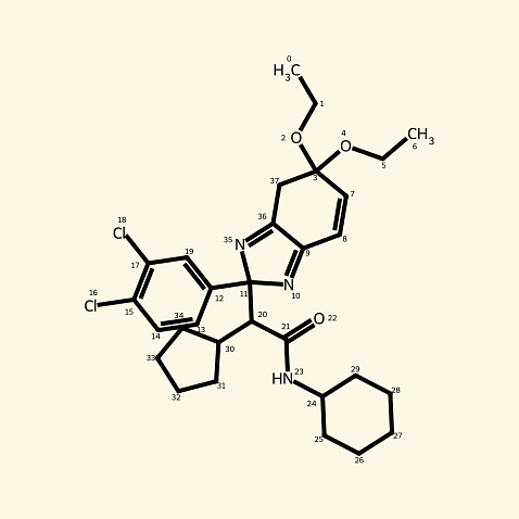 CCOC1(OCC)C=CC2=NC(c3ccc(Cl)c(Cl)c3)(C(C(=O)NC3CCCCC3)C3CCCC3)N=C2C1